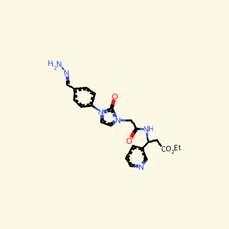 CCOC(=O)CC(NC(=O)Cn1ccn(-c2ccc(C=NN)cc2)c1=O)c1cccnc1